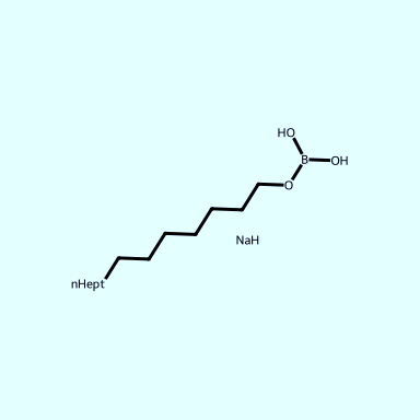 CCCCCCCCCCCCCCOB(O)O.[NaH]